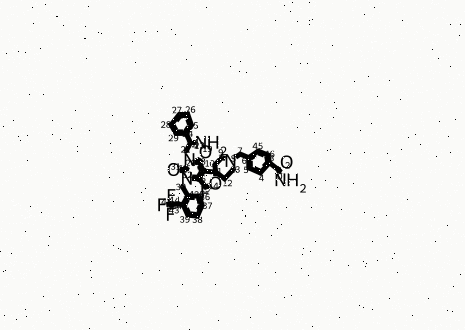 NC(=O)c1ccc(CN2CCC3(CC2)OCc2c3c(=O)n(CC(N)c3ccccc3)c(=O)n2Cc2c(F)cccc2C(F)(F)F)cc1